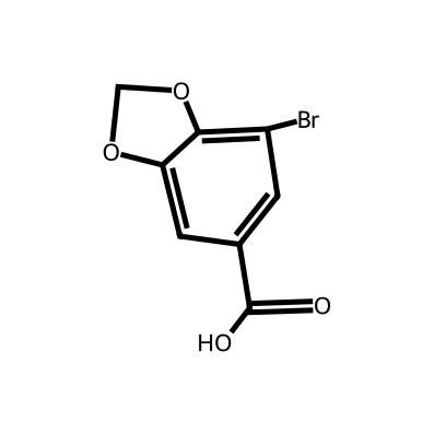 O=C(O)c1cc(Br)c2c(c1)OCO2